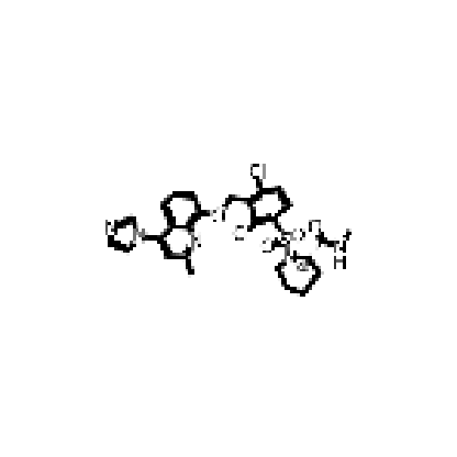 CNC(=O)[C@@H]1CCCCN1S(=O)(=O)c1ccc(Cl)c(COc2cccc3c(-n4ccnc4)cc(C)nc23)c1Cl